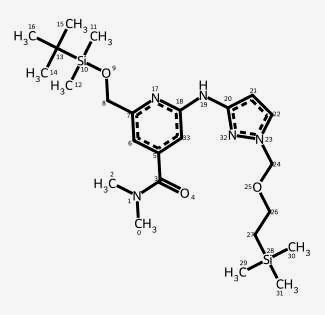 CN(C)C(=O)c1cc(CO[Si](C)(C)C(C)(C)C)nc(Nc2ccn(COCC[Si](C)(C)C)n2)c1